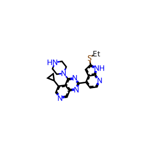 CCSc1cc2c(-c3nc(N4CCNCC4)c4c(C5CC5)cncc4n3)ccnc2[nH]1